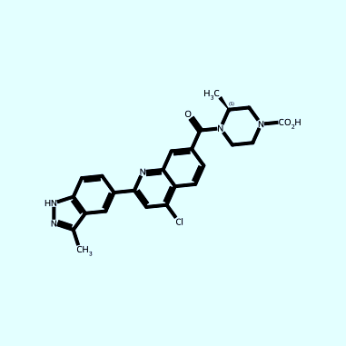 Cc1n[nH]c2ccc(-c3cc(Cl)c4ccc(C(=O)N5CCN(C(=O)O)C[C@@H]5C)cc4n3)cc12